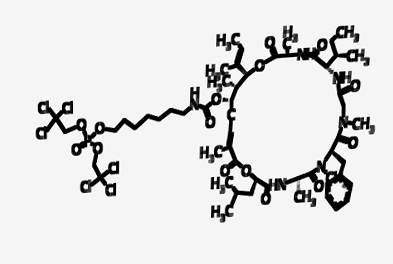 C/C=C(\C)[C@H]1OC(=O)[C@@H](C)NC(=O)[C@H]([C@H](C)CC)NC(=O)CN(C)C(=O)[C@@H](Cc2ccccc2)N(C)C(=O)[C@H](C)NC(=O)[C@@H](CC(C)C)OC(=O)/C(C)=C/C[C@H](OC(=O)NCCCCCCCOP(=O)(OCC(Cl)(Cl)Cl)OCC(Cl)(Cl)Cl)[C@@H]1C